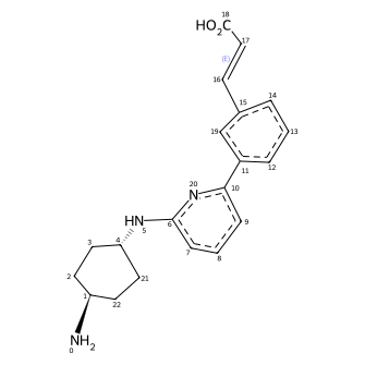 N[C@H]1CC[C@H](Nc2cccc(-c3cccc(/C=C/C(=O)O)c3)n2)CC1